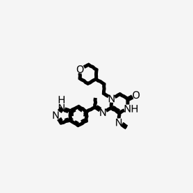 C=NC1=C(/N=C(\C)c2ccc3cn[nH]c3c2)N(CCC2CCOCC2)CC(=O)N1